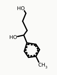 Cc1ccc(C(O)CCCO)cc1